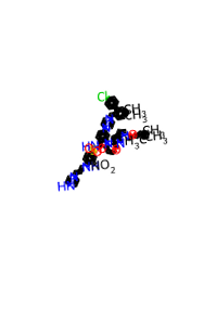 CC1(C)CCC(CN2CCN(c3ccc(C(=O)NS(=O)(=O)c4ccc(NCCCN5CCNCC5)c([N+](=O)[O-])c4)c(N4CCCOc5nc6c(ccn6COCC[Si](C)(C)C)cc54)c3)CC2)=C(c2ccc(Cl)cc2)C1